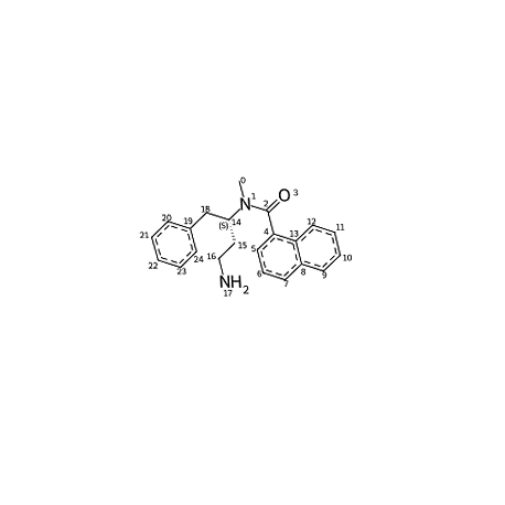 CN(C(=O)c1cccc2ccccc12)[C@H](CCN)Cc1ccccc1